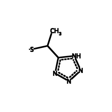 CC([S])c1nnn[nH]1